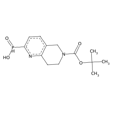 CC(C)(C)OC(=O)N1CCc2nc([PH](=O)O)ccc2C1